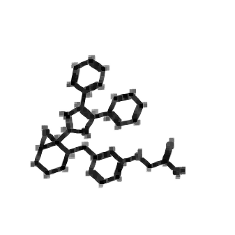 O=C(O)COc1cccc(CC2CCCC3OC23c2nc(-c3ccccc3)c(-c3ccccc3)o2)c1